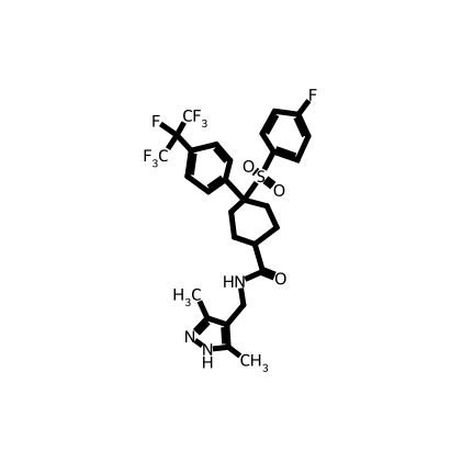 Cc1n[nH]c(C)c1CNC(=O)C1CCC(c2ccc(C(F)(C(F)(F)F)C(F)(F)F)cc2)(S(=O)(=O)c2ccc(F)cc2)CC1